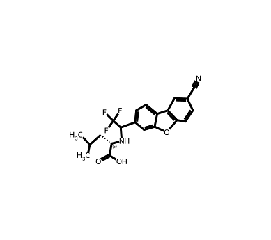 CC(C)C[C@H](NC(c1ccc2c(c1)oc1ccc(C#N)cc12)C(F)(F)F)C(=O)O